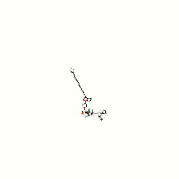 C=C(/C=C\C(=C/C)c1ccc(OCCOCCOCCOCCOCCN=[N+]=[N-])c2ccccc12)[C@H](CC(=O)O)NC(=O)[C@@H](NC(=O)CCCN(C(=O)OC(C)(C)C)c1cc(C)ccn1)[C@@H](C)CC